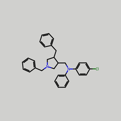 Clc1ccc(N(CC2CN(Cc3ccccc3)CC2Cc2ccccc2)c2ccccc2)cc1